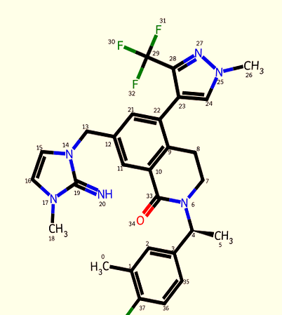 Cc1cc([C@H](C)N2CCc3c(cc(Cn4ccn(C)c4=N)cc3-c3cn(C)nc3C(F)(F)F)C2=O)ccc1F